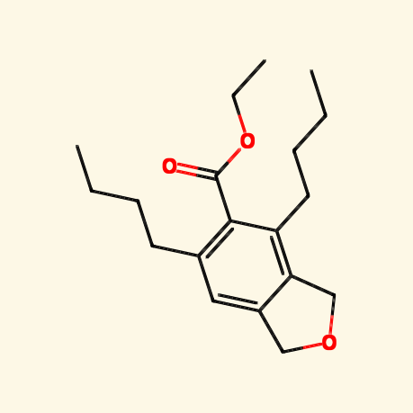 CCCCc1cc2c(c(CCCC)c1C(=O)OCC)COC2